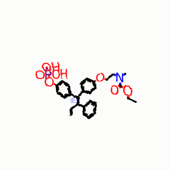 CCOC(=O)N(C)CCOc1ccc(/C(=C(/CC)c2ccccc2)c2ccc(OP(=O)(O)O)cc2)cc1